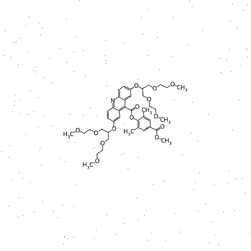 COCCOCC(COCCOC)Oc1ccc2nc3ccc(OC(COCCOC)COCCOC)cc3c(C(=O)Oc3c(C)cc(C(=O)OC)cc3C)c2c1